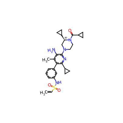 C=CS(=O)(=O)Nc1cccc(-c2c(C3CC3)nc(N3CCN(C(=O)C4CC4)[C@H](C4CC4)C3)c(N)c2C)c1